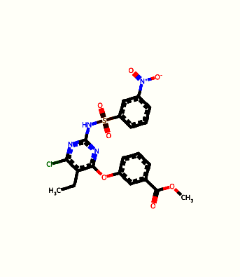 CCc1c(Cl)nc(NS(=O)(=O)c2cccc([N+](=O)[O-])c2)nc1Oc1cccc(C(=O)OC)c1